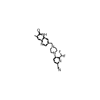 Cc1cc2ncc(CN3CCN(c4ccc(C#N)nc4C(F)F)CC3)cc2[nH]c1=O